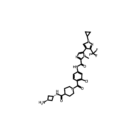 Cn1c(-c2cn(C3CC3)nc2C(F)(F)F)cnc1C(=O)Nc1ccc(C(=O)N2CCC(C(=O)N[C@H]3C[C@H](N)C3)CC2)c(Cl)c1